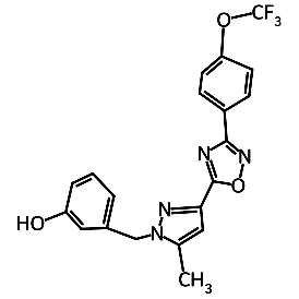 Cc1cc(-c2nc(-c3ccc(OC(F)(F)F)cc3)no2)nn1Cc1cccc(O)c1